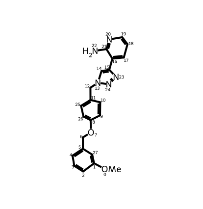 COc1cccc(COc2ccc(Cn3cc(-c4cccnc4N)nn3)cc2)c1